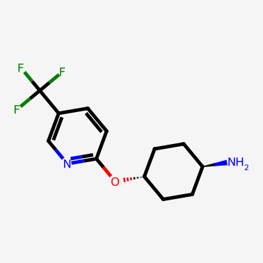 N[C@H]1CC[C@H](Oc2ccc(C(F)(F)F)cn2)CC1